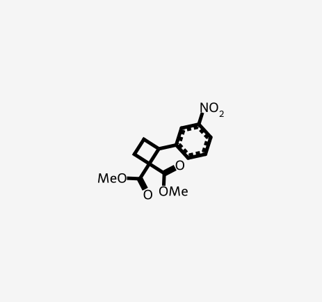 COC(=O)C1(C(=O)OC)CCC1c1cccc([N+](=O)[O-])c1